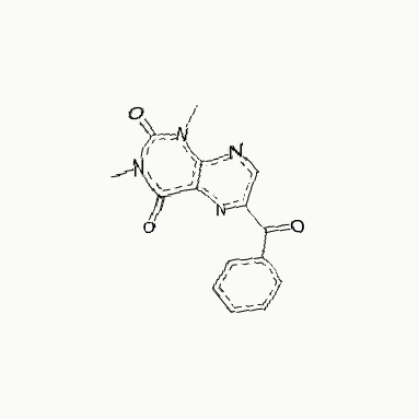 Cn1c(=O)c2nc(C(=O)c3ccccc3)cnc2n(C)c1=O